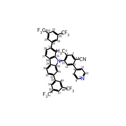 Cc1cc(C#N)c(-c2ccncc2)cc1-n1c2cc(-c3cc(C(F)(F)F)cc(C(F)(F)F)c3)ccc2c2ccc(-c3cc(C(F)(F)F)cc(C(F)(F)F)c3)cc21